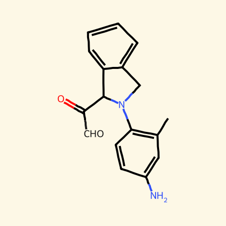 Cc1cc(N)ccc1N1Cc2ccccc2C1C(=O)C=O